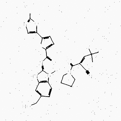 Cc1ncc(-c2ccc(C(=O)N=c3[nH]c4cc(CO)ccc4n3C[C@H]3CCCN3C(=O)C(C#N)=CC(C)(C)C)s2)o1